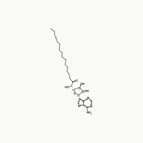 CCCCCCCCCCCCCCCC(=O)C(O)[C@H]1O[C@@H](n2cnc3c(N)ncnc32)[C@H](O)[C@@H]1O